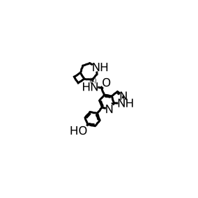 O=C(N[C@H]1CNCCC2CCC21)c1cc(-c2ccc(O)cc2)nc2[nH]ncc12